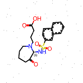 O=C(O)CCCN1CCCCC(=O)[C@@H]1NS(=O)(=O)c1ccc2ccccc2c1